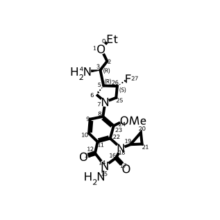 CCOC[C@H](N)[C@H]1CN(c2ccc3c(=O)n(N)c(=O)n(C4CC4)c3c2OC)C[C@H]1F